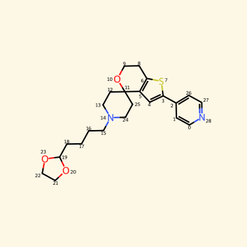 c1cc(-c2cc3c(s2)CCOC32CCN(CCCCC3OCCO3)CC2)ccn1